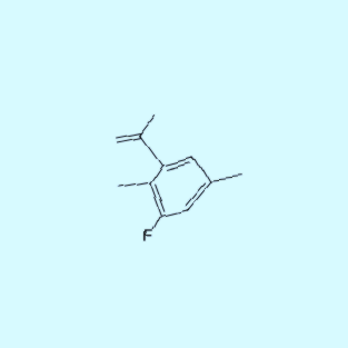 C=C(C)c1cc(C)cc(F)c1C